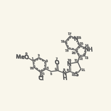 COc1ccc(CC(=O)NC2=NC(c3c[nH]c4ncccc34)CS2)c(Cl)c1